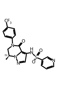 C[C@H]1CN(c2ccc(C(F)(F)F)cc2)C(=O)c2c(NS(=O)(=O)c3cccnc3)cnn21